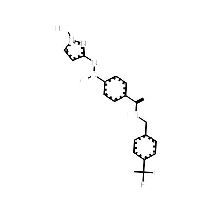 Cn1ccc(N[S+]([O-])c2ccc(C(=O)NCc3ccc(C(F)(F)F)cc3)cc2)n1